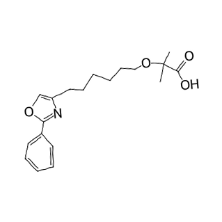 CC(C)(OCCCCCCc1coc(-c2ccccc2)n1)C(=O)O